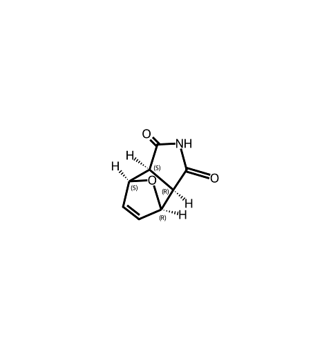 O=C1NC(=O)[C@H]2[C@@H]1[C@H]1C=C[C@@H]2O1